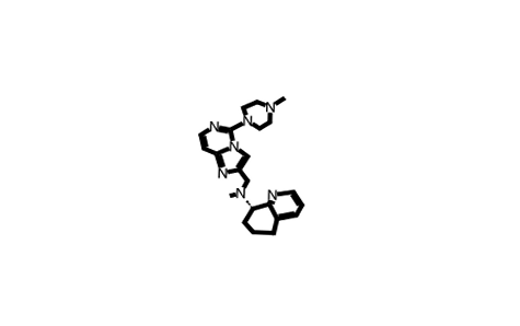 CN1CCN(c2nccc3nc(CN(C)[C@H]4CCCc5cccnc54)cn23)CC1